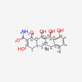 NC(=O)C1=C(O)CC2C[C@@H]3Cc4c(I)ccc(O)c4[C@H](O)C3=C(O)C2C1=O